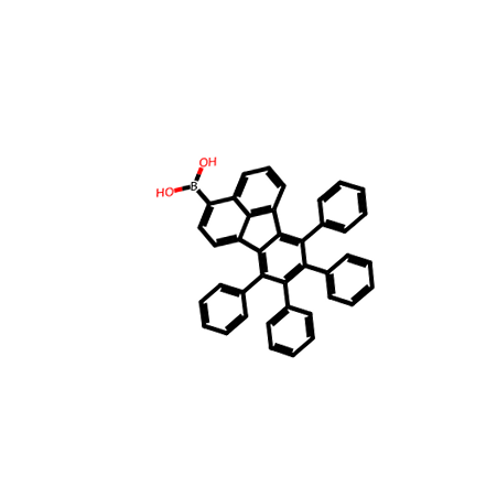 OB(O)c1ccc2c3c(cccc13)-c1c(-c3ccccc3)c(-c3ccccc3)c(-c3ccccc3)c(-c3ccccc3)c1-2